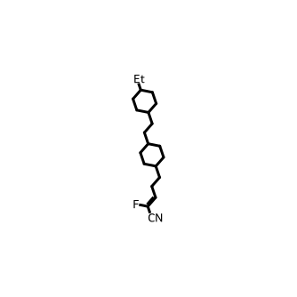 CCC1CCC(CCC2CCC(CCC=C(F)C#N)CC2)CC1